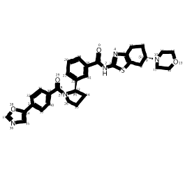 O=C(Nc1nc2c(s1)C[C@@H](N1CCOCC1)CC2)c1cccc([C@H]2CCCN2C(=O)c2ccc(-c3cnco3)cc2)c1